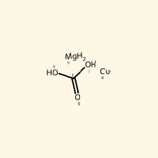 O=C(O)O.[Cu].[MgH2]